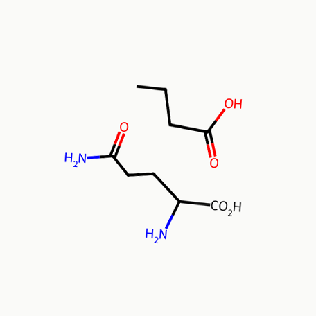 CCCC(=O)O.NC(=O)CCC(N)C(=O)O